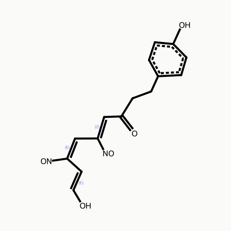 O=NC(=C\C(=O)CCc1ccc(O)cc1)/C=C(\C=C\O)N=O